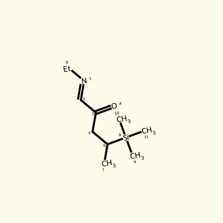 CCN=CC(=O)CC(C)[Si](C)(C)C